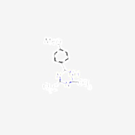 COc1ccc(C2N=C(C(Cl)(Cl)Cl)N=C(C(Cl)(Cl)Cl)N2)cc1